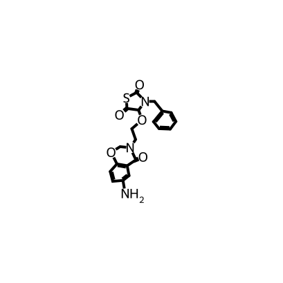 Nc1ccc2c(c1)C(=O)N(CCOC1C(=O)SC(=O)N1Cc1ccccc1)CO2